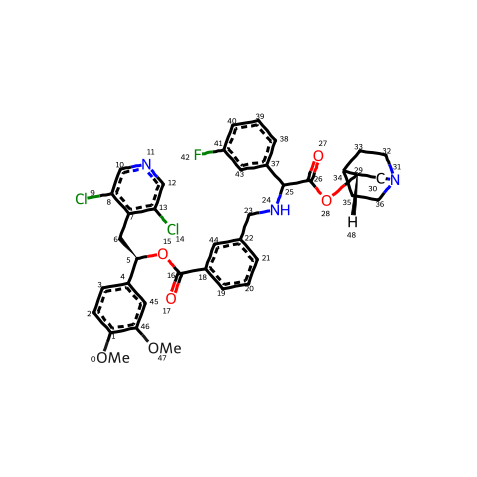 COc1ccc([C@@H](Cc2c(Cl)cncc2Cl)OC(=O)c2cccc(CNC(C(=O)O[C@H]3CN4CCC3CC4)c3cccc(F)c3)c2)cc1OC